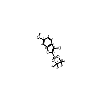 COc1ccc2c(Cl)c(B3OC(C)(C)C(C)(C)O3)oc2c1